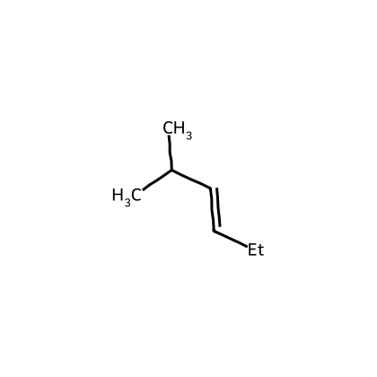 [CH2]CC=CC(C)C